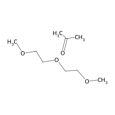 CC(C)=O.COCCOCCOC